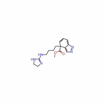 COC(=O)C1(CCCCNC2=NCCN2)C=CC=C2N=NC=C21